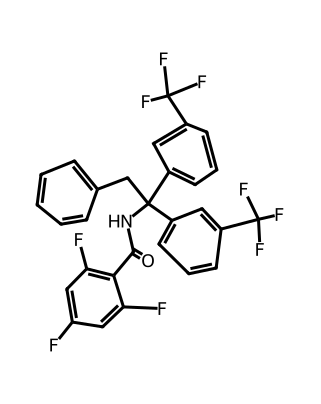 O=C(NC(Cc1ccccc1)(c1cccc(C(F)(F)F)c1)c1cccc(C(F)(F)F)c1)c1c(F)cc(F)cc1F